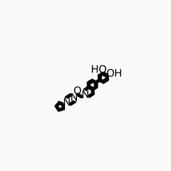 O=C(CN1CCc2cc(-c3ccc(O)c(O)c3)ccc2C1)N1CCN(C2CCCC2)CC1